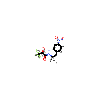 C[C@@H](Cc1ccc([N+](=O)[O-])cc1)NC(=O)C(=O)C(F)(F)F